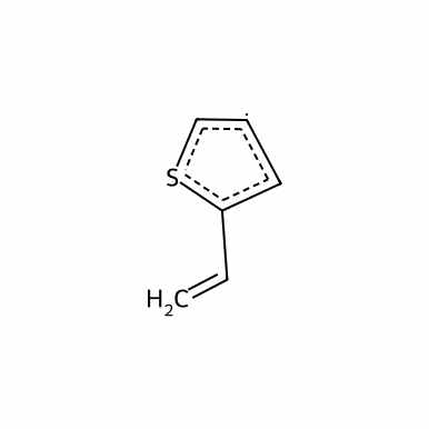 C=Cc1c[c]cs1